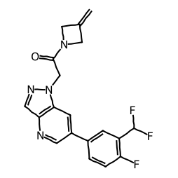 C=C1CN(C(=O)Cn2ncc3ncc(-c4ccc(F)c(C(F)F)c4)cc32)C1